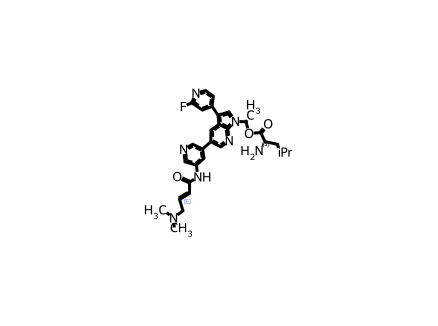 CC(C)C[C@H](N)C(=O)OC(C)n1cc(-c2ccnc(F)c2)c2cc(-c3cncc(NC(=O)/C=C/CN(C)C)c3)cnc21